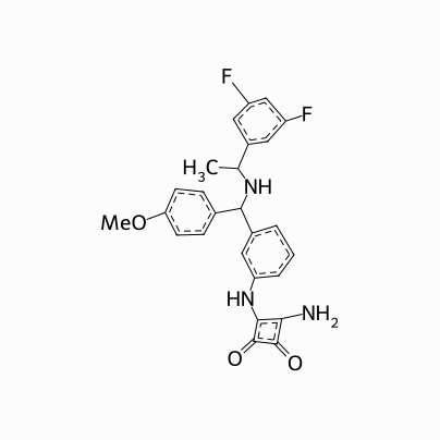 COc1ccc(C(NC(C)c2cc(F)cc(F)c2)c2cccc(Nc3c(N)c(=O)c3=O)c2)cc1